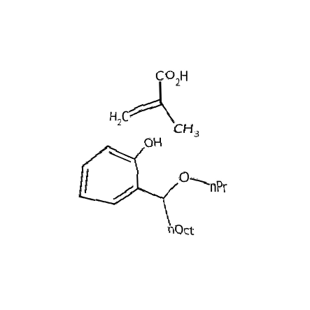 C=C(C)C(=O)O.CCCCCCCCC(OCCC)c1ccccc1O